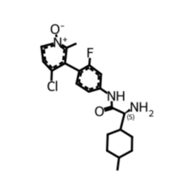 Cc1c(-c2ccc(NC(=O)[C@@H](N)C3CCC(C)CC3)cc2F)c(Cl)cc[n+]1[O-]